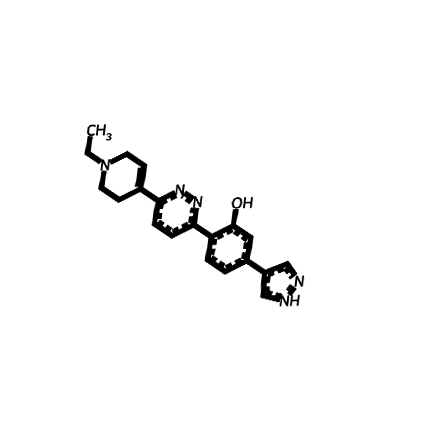 CCN1CC=C(c2ccc(-c3ccc(-c4cn[nH]c4)cc3O)nn2)CC1